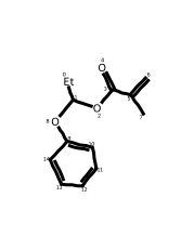 [CH2]CC(OC(=O)C(=C)C)Oc1ccccc1